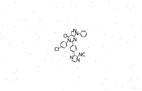 [C-]#[N+]c1nccnc1-c1ccc(-c2nc3c(cnn3-c3ccccc3)c(=O)n2-c2ccc(Cl)cc2)cc1